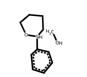 CO.c1ccc([SiH]2CCCCO2)cc1